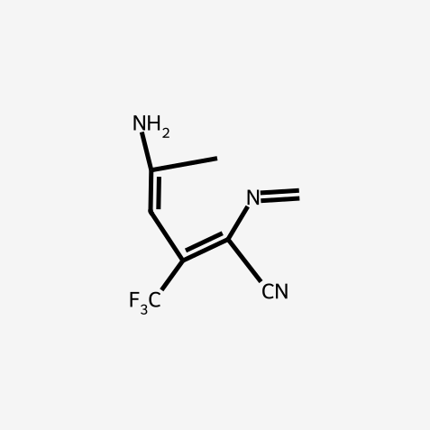 C=N/C(C#N)=C(\C=C(/C)N)C(F)(F)F